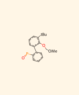 COCOc1c(-c2ccccc2P=O)cccc1C(C)(C)C